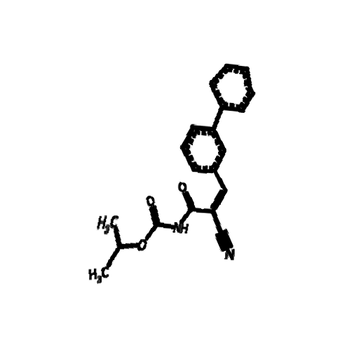 CC(C)OC(=O)NC(=O)C(C#N)=Cc1cccc(-c2ccccc2)c1